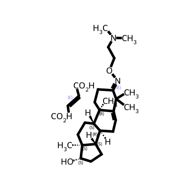 CN(C)CCO/N=C1\CC[C@@]2(C)C(=CC[C@H]3[C@@H]4CC[C@H](O)[C@@]4(C)CC[C@@H]32)C1(C)C.O=C(O)/C=C/C(=O)O